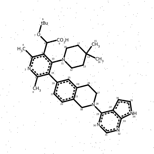 Cc1nc(C)c(C(OC(C)(C)C)C(=O)O)c(N2CCC(C)(C)CC2)c1-c1ccc2c(c1)CCN(c1ncnc3[nH]ccc13)C2